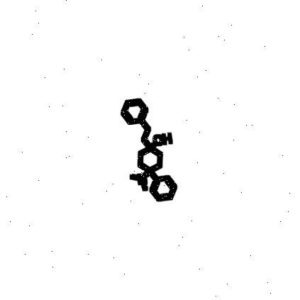 CN(C)C1(c2ccccc2)CCC(O)(CCc2ccccc2)CC1